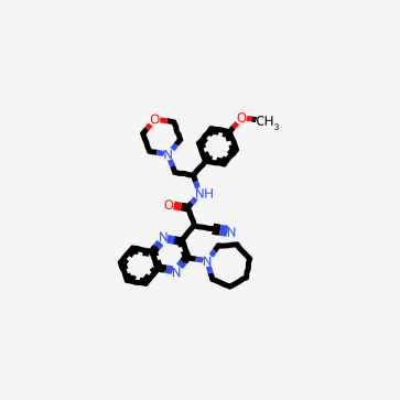 COc1ccc(C(CN2CCOCC2)NC(=O)C(C#N)c2nc3ccccc3nc2N2CCCCCC2)cc1